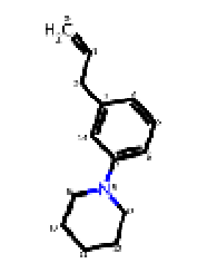 C=CCc1cccc(N2CCCCC2)c1